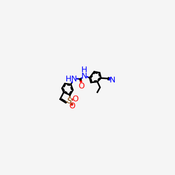 CCc1cc(NC(=O)Nc2ccc3c(c2)S(=O)(=O)C=C3)ccc1C#N